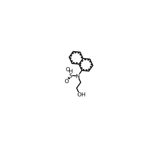 O=[SH](=O)N(CCO)c1cccc2ccccc12